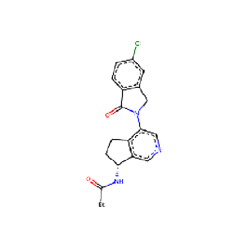 CCC(=O)N[C@@H]1CCc2c1cncc2N1Cc2cc(Cl)ccc2C1=O